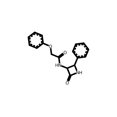 O=C(COc1ccccc1)NC1C(=O)NC1c1ccccc1